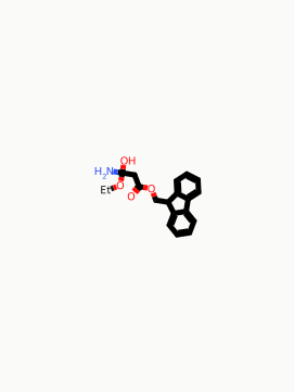 CCOC(N)(O)CC(=O)OCC1c2ccccc2-c2ccccc21